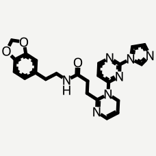 O=C(CCC1=NC=CCN1c1ccnc(-n2ccnc2)n1)NCCc1ccc2c(c1)OCO2